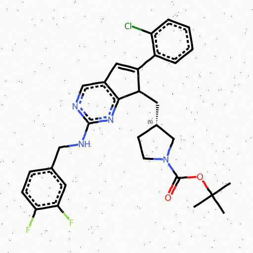 CC(C)(C)OC(=O)N1CC[C@H](CC2C(c3ccccc3Cl)=Cc3cnc(NCc4ccc(F)c(F)c4)nc32)C1